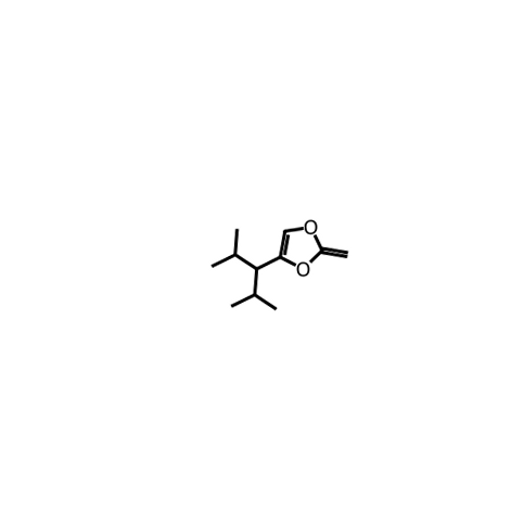 C=C1OC=C(C(C(C)C)C(C)C)O1